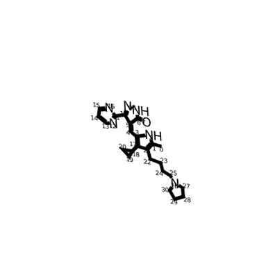 Cc1[nH]c(C=C2C(=O)NN=C2c2ncccn2)c(C2CC2)c1CCCCN1CCCC1